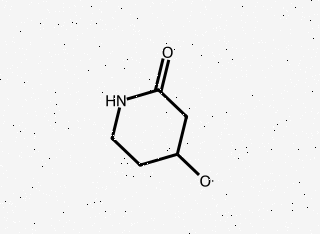 [O]C1CCNC(=O)C1